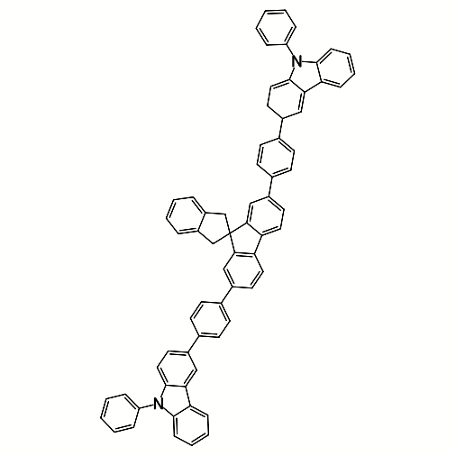 C1=c2c(n(-c3ccccc3)c3ccccc23)=CCC1c1ccc(-c2ccc3c(c2)C2(Cc4ccccc4C2)c2cc(-c4ccc(-c5ccc6c(c5)c5ccccc5n6-c5ccccc5)cc4)ccc2-3)cc1